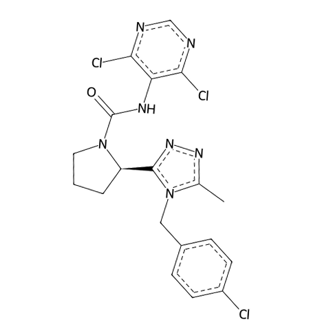 Cc1nnc([C@H]2CCCN2C(=O)Nc2c(Cl)ncnc2Cl)n1Cc1ccc(Cl)cc1